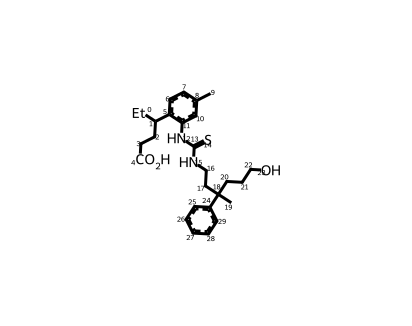 CCC(CCC(=O)O)c1ccc(C)cc1NC(=S)NCCC(C)(CCCO)c1ccccc1